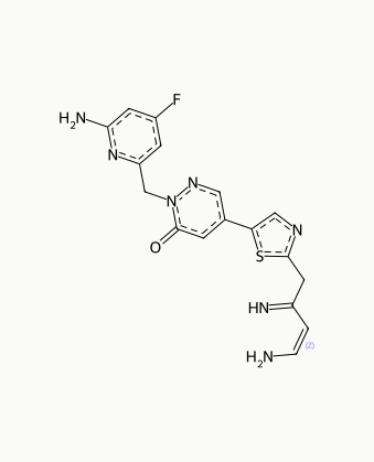 N=C(/C=C\N)Cc1ncc(-c2cnn(Cc3cc(F)cc(N)n3)c(=O)c2)s1